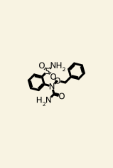 NC(=O)N(OCc1ccccc1)c1ccccc1S(N)(=O)=O